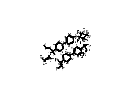 CCCC(C)(OC(F)=C(F)F)c1ccc(-c2ccc(OC3(F)C(F)(F)C(F)(F)C3(F)OC(C)(CN)c3ccc(-c4ccc(C(F)=C(F)F)cc4)cc3)cc2)cc1